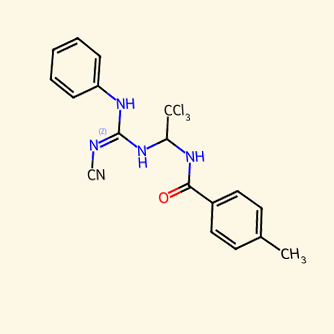 Cc1ccc(C(=O)NC(N/C(=N\C#N)Nc2ccccc2)C(Cl)(Cl)Cl)cc1